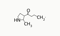 [CH2]CCC(=O)C1CCNC1C